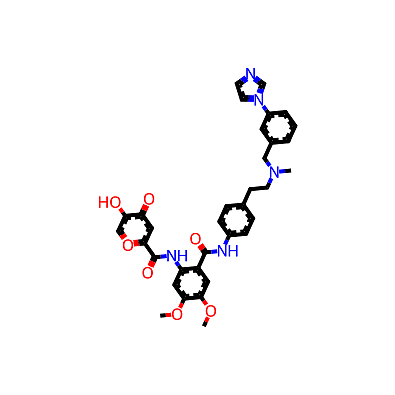 COc1cc(NC(=O)c2cc(=O)c(O)co2)c(C(=O)Nc2ccc(CCN(C)Cc3cccc(-n4ccnc4)c3)cc2)cc1OC